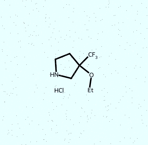 CCOC1(C(F)(F)F)CCNC1.Cl